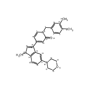 Cc1ccc(Cn2ccc(-c3cn(C)c4ncc(N5CCOCC5)cc34)cc2=O)cc1C